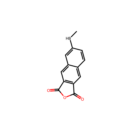 CBc1ccc2cc3c(cc2c1)C(=O)OC3=O